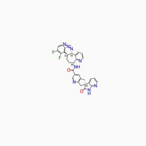 [N-]=[N+]=N[C@@H]1c2cccnc2[C@H](NC(=O)c2cnc3c(c2)C[C@@]2(C3)C(=O)Nc3ncccc32)CC[C@H]1c1cccc(F)c1F